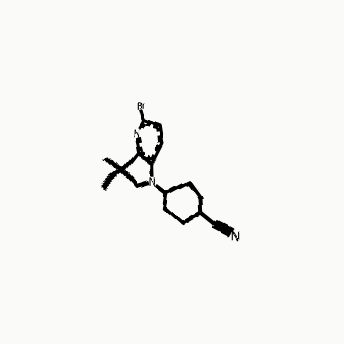 CC1(C)CN(C2CCC(C#N)CC2)c2ccc(Br)nc21